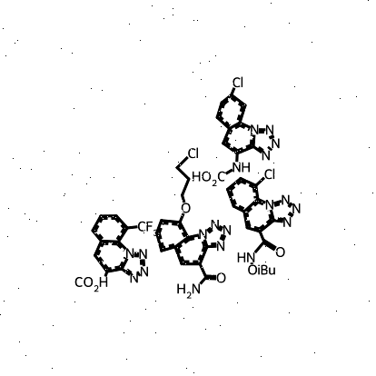 CC(C)CONC(=O)c1cc2cccc(Cl)c2n2nnnc12.NC(=O)c1cc2cccc(OCCCCl)c2n2nnnc12.O=C(O)Nc1cc2ccc(Cl)cc2n2nnnc12.O=C(O)c1cc2cccc(C(F)(F)F)c2n2nnnc12